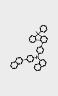 CC1(c2ccccc2)c2ccccc2-c2c(-c3ccc(N(c4ccc(-c5ccc6ccccc6c5)cc4)c4cccc5ccccc45)cc3)cccc21